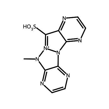 Cn1c2nccnc2n2c3nccnc3c(S(=O)(=O)O)[n+]12